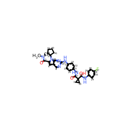 CN(C)C(=O)c1cc2cnc(Nc3ccc(NC(=O)C4(C(O)Nc5ccc(F)cc5)CC4)cc3)nc2n1C1CCCC1